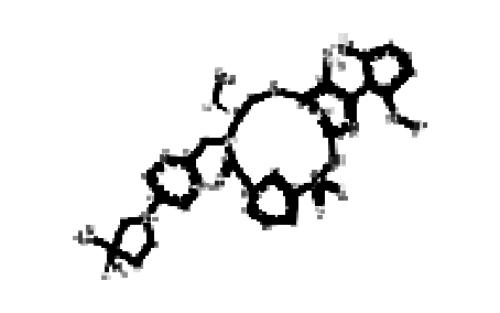 Cc1cccc(OC(C)C)c1-c1nc2nc(c1C)OC[C@@H](CC(C)(C)C)N(Cc1ncc(N3CCC(C)(C)C3)cn1)C(=O)c1cccc(c1)S(=O)(=O)N2